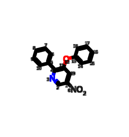 O=[N+]([O-])c1cnc(-c2ccccc2)c(Oc2ccccc2)c1